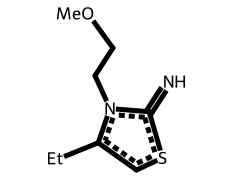 CCc1csc(=N)n1CCOC